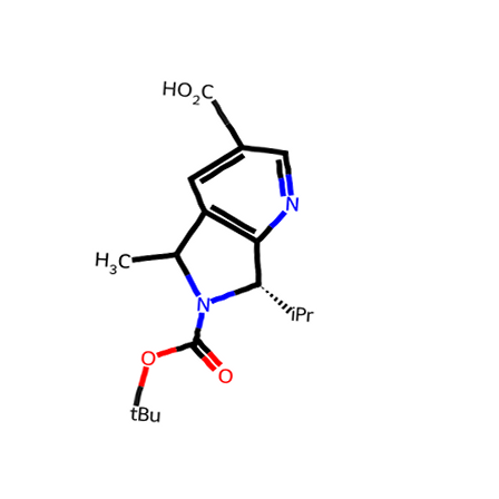 CC(C)[C@H]1c2ncc(C(=O)O)cc2C(C)N1C(=O)OC(C)(C)C